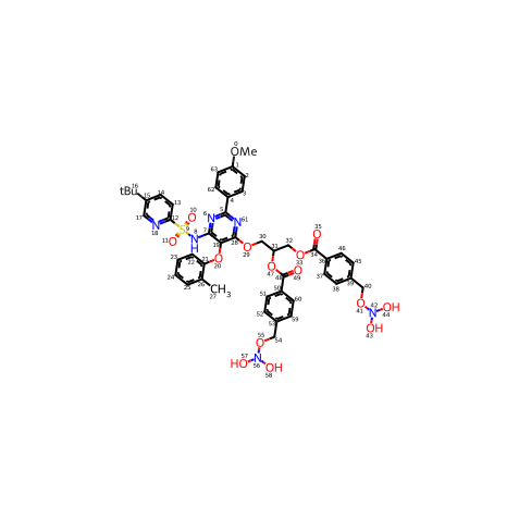 COc1ccc(-c2nc(NS(=O)(=O)c3ccc(C(C)(C)C)cn3)c(Oc3ccccc3C)c(OCC(COC(=O)c3ccc(CON(O)O)cc3)OC(=O)c3ccc(CON(O)O)cc3)n2)cc1